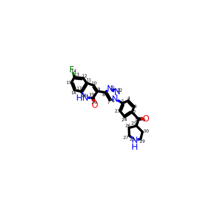 O=C(c1ccc(-n2cc(-c3cc4cc(F)ccc4[nH]c3=O)nn2)cc1)C1CCNCC1